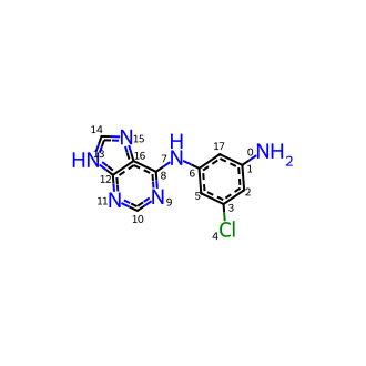 Nc1cc(Cl)cc(Nc2ncnc3[nH]cnc23)c1